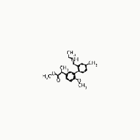 CCNCc1cc(C)ccc1-c1cc(C(C)C(=O)OC)ccc1OC